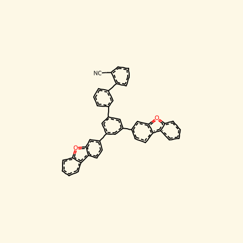 N#Cc1ccccc1-c1cccc(-c2cc(-c3ccc4c(c3)oc3ccccc34)cc(-c3ccc4c(c3)oc3ccccc34)c2)c1